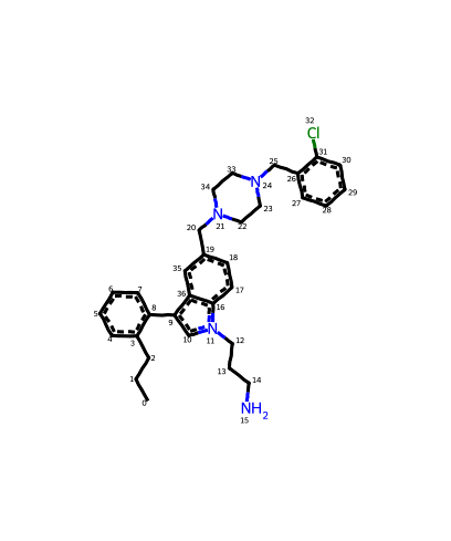 CCCc1ccccc1-c1cn(CCCN)c2ccc(CN3CCN(Cc4ccccc4Cl)CC3)cc12